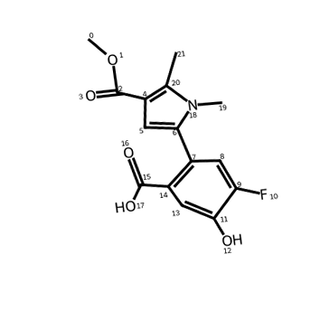 COC(=O)c1cc(-c2cc(F)c(O)cc2C(=O)O)n(C)c1C